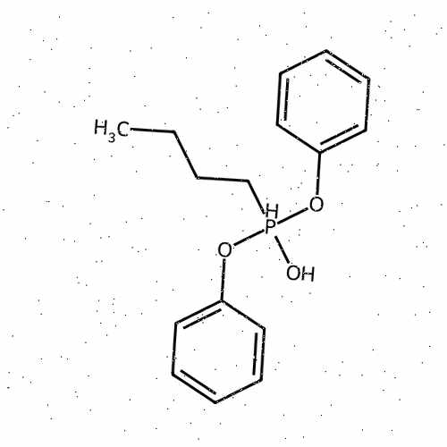 CCCC[PH](O)(Oc1ccccc1)Oc1ccccc1